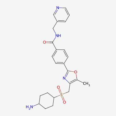 Cc1oc(-c2ccc(C(=O)NCc3cccnc3)cc2)nc1CS(=O)(=O)C1CCC(N)CC1